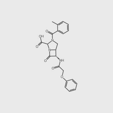 Cc1ccccc1C(=O)N1CC2[C@@H](NC(=O)COc3ccccc3)C(=O)N2C1C(=O)O